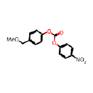 COCc1ccc(OC(=O)Oc2ccc([N+](=O)[O-])cc2)cc1